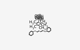 C(C=CCc1ccccc1)=CCc1ccccc1.CC(C)(C)[O-].CC(C)(C)[O-].CC(C)(C)[O-].CC1=C(C)C(C)(C)[C]([Ti+3])=C1C